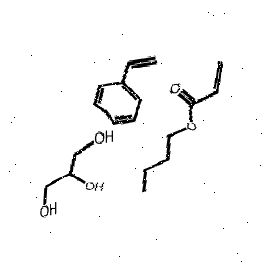 C=CC(=O)OCCCC.C=Cc1ccccc1.OCC(O)CO